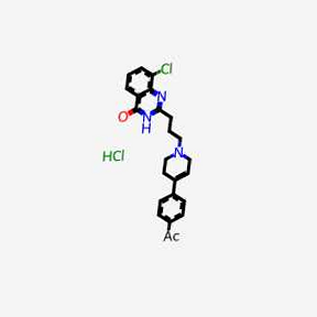 CC(=O)c1ccc(C2=CCN(CCCc3nc4c(Cl)cccc4c(=O)[nH]3)CC2)cc1.Cl